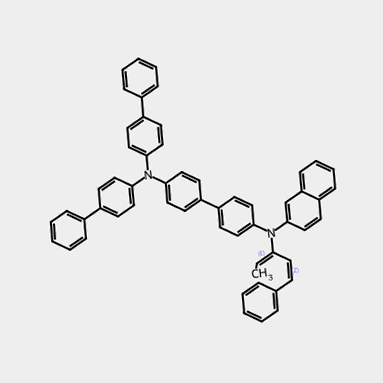 C/C=C(\C=C/c1ccccc1)N(c1ccc(-c2ccc(N(c3ccc(-c4ccccc4)cc3)c3ccc(-c4ccccc4)cc3)cc2)cc1)c1ccc2ccccc2c1